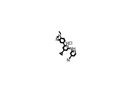 CCn1cnc2cc(-c3cc(C4CC4)cc(Nc4cc(C#N)ccn4)n3)ccc21.Cl